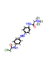 CC[N+](CC)(CC)CC(=O)Nc1ccc(/N=N/c2ccc(NC(=O)CCl)cc2)cc1